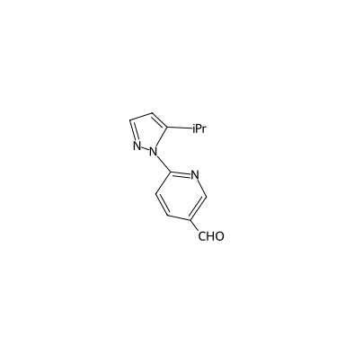 CC(C)c1ccnn1-c1ccc(C=O)cn1